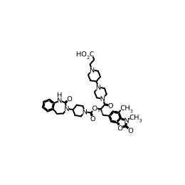 Cc1cc(C[C@@H](OC(=O)N2CCC(N3CCc4ccccc4NC3=O)CC2)C(=O)N2CCN(C3CCN(CCC(=O)O)CC3)CC2)cc2oc(=O)n(C)c12